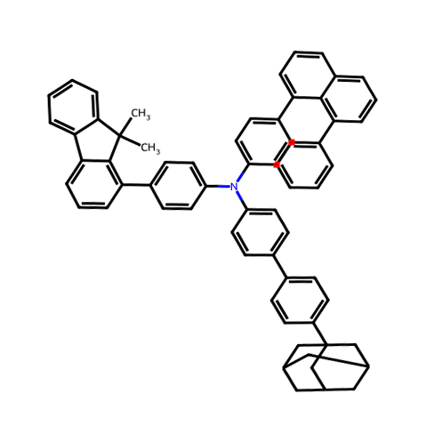 CC1(C)c2ccccc2-c2cccc(-c3ccc(N(c4ccc(-c5ccc(C67CC8CC(CC(C8)C6)C7)cc5)cc4)c4ccc(-c5cccc6cccc(-c7ccccc7)c56)cc4)cc3)c21